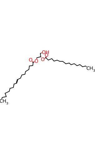 CCCCCCCCC=CCCCCCCCC(=O)OCC(CO)OC(=O)CCCCCCCCCCCCCCC